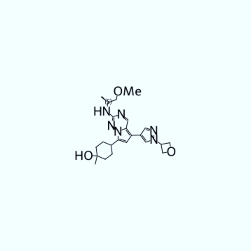 COC[C@H](C)Nc1ncc2c(-c3cnn(C4COC4)c3)cc(C3CCC(C)(O)CC3)n2n1